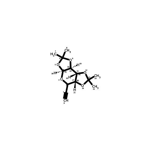 C#CC1O[C@H]2OC(C)(C)O[C@H]2[C@@H]2OC(C)(C)O[C@H]12